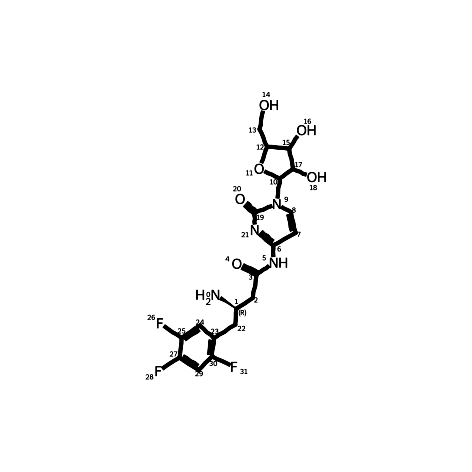 N[C@@H](CC(=O)Nc1ccn(C2OC(CO)C(O)C2O)c(=O)n1)Cc1cc(F)c(F)cc1F